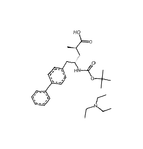 CCN(CC)CC.C[C@H](C[C@@H](Cc1ccc(-c2ccccc2)cc1)NC(=O)OC(C)(C)C)C(=O)O